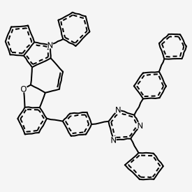 C1=CC2c3c(cccc3-c3ccc(-c4nc(-c5ccccc5)nc(-c5ccc(-c6ccccc6)cc5)n4)cc3)OC2c2c1n(-c1ccccc1)c1ccccc21